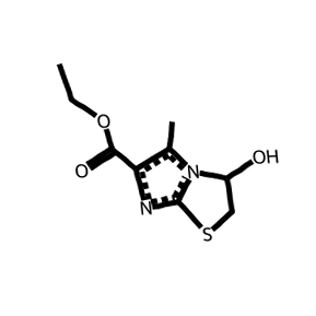 CCOC(=O)c1nc2n(c1C)C(O)CS2